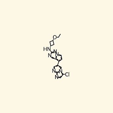 CCO[C@H]1C[C@H](Nc2ncc3c(-c4cnc5ncc(Cl)n5c4)ccn3n2)C1